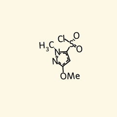 COc1cc(S(=O)(=O)Cl)n(C)n1